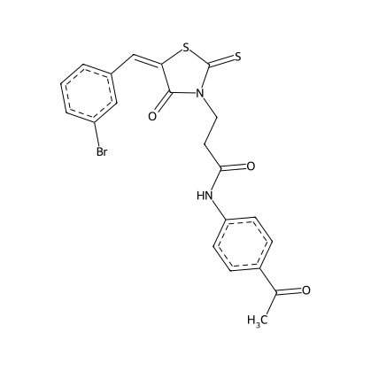 CC(=O)c1ccc(NC(=O)CCN2C(=O)/C(=C\c3cccc(Br)c3)SC2=S)cc1